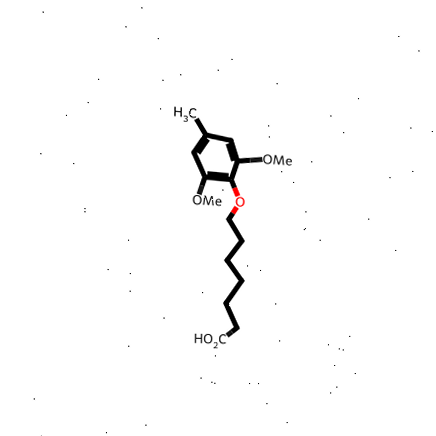 COc1cc(C)cc(OC)c1OCCCCCCC(=O)O